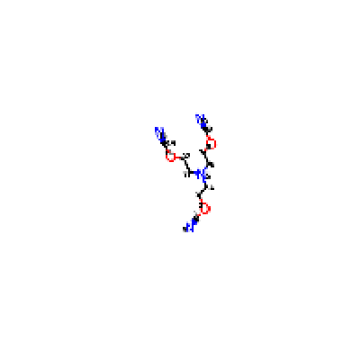 N#COCCN(CCOC#N)CCOC#N